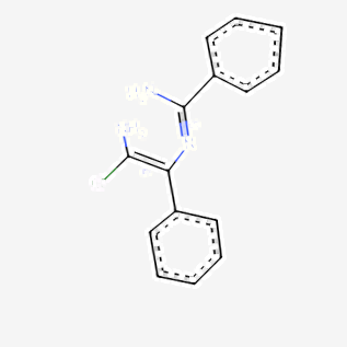 N/C(=N\C(=C(/N)Cl)c1ccccc1)c1ccccc1